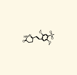 COc1cc(S(C)(=O)=O)c(OC)cc1C=CC1=NNC(=O)CC1